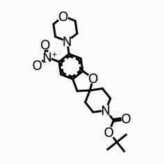 CC(C)(C)OC(=O)N1CCC2(CC1)Cc1cc([N+](=O)[O-])c(N3CCOCC3)cc1O2